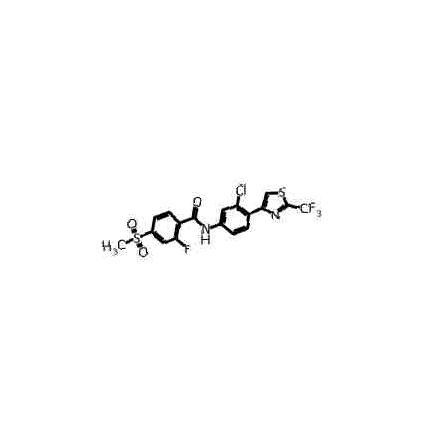 CS(=O)(=O)c1ccc(C(=O)Nc2ccc(-c3csc(C(F)(F)F)n3)c(Cl)c2)c(F)c1